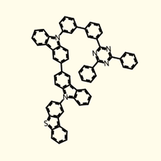 c1ccc(-c2nc(-c3ccccc3)nc(-c3cccc(-c4cccc(-n5c6ccccc6c6cc(-c7ccc8c(c7)c7ccccc7n8-c7ccc8sc9ccccc9c8c7)ccc65)c4)c3)n2)cc1